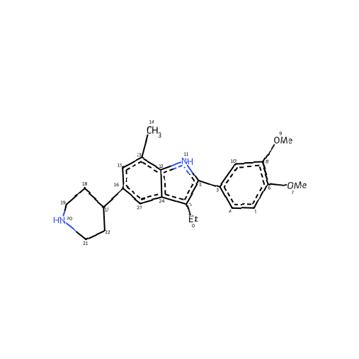 CCc1c(-c2ccc(OC)c(OC)c2)[nH]c2c(C)cc(C3CCNCC3)cc12